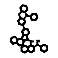 N=C(c1ccccc1)c1ccc2ccccc2c1Nn1c2ccc(-c3ccc4c(c3)N(c3ccccc3)c3ccccc3O4)cc2c2c3ccccc3ccc21